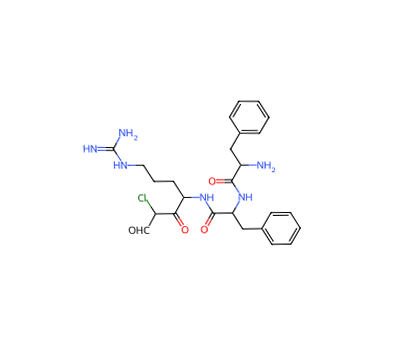 N=C(N)NCCCC(NC(=O)C(Cc1ccccc1)NC(=O)C(N)Cc1ccccc1)C(=O)C(Cl)C=O